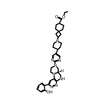 CCOC(=O)C1CCC2(CC1)CC(N1CCC(c3cnc(N4CCN5c6cc(-c7ccccc7O)nnc6NC[C@H]5C4)nc3)CC1)C2